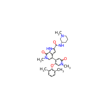 Cc1cccc(C)c1Oc1cn(C)c(=O)cc1-c1cn(C)c(=O)c2[nH]c(C(=O)NC3CCCN(C)C3)cc12